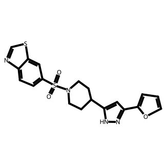 O=S(=O)(c1ccc2ncsc2c1)N1CCC(c2cc(-c3ccco3)n[nH]2)CC1